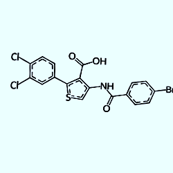 O=C(Nc1csc(-c2ccc(Cl)c(Cl)c2)c1C(=O)O)c1ccc(Br)cc1